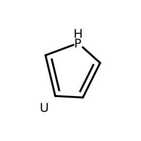 [U].c1cc[pH]c1